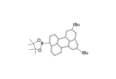 CC(C)(C)c1cc2cc(C(C)(C)C)cc3c4ccc(B5OC(C)(C)C(C)(C)O5)c5cccc(c(c1)c23)c54